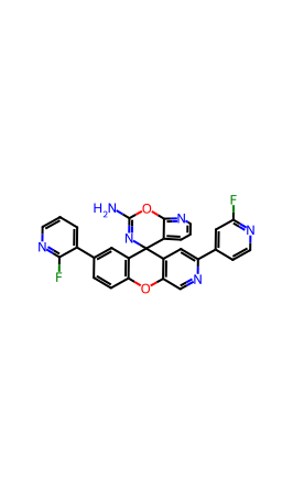 NC1=NC2(c3cc(-c4cccnc4F)ccc3Oc3cnc(-c4ccnc(F)c4)cc32)c2cccnc2O1